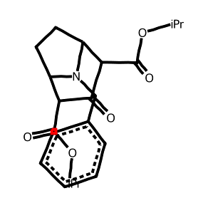 CC(C)OC(=O)C1C(=O)C(C(=O)OC(C)C)C2CCC1N2Cc1ccccc1